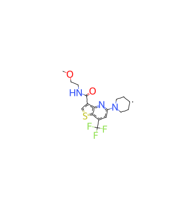 COCCNC(=O)c1csc2c(C(F)(F)F)cc(N3CC[CH]CC3)nc12